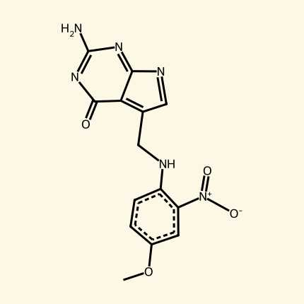 COc1ccc(NCC2=C3C(=O)N=C(N)N=C3N=C2)c([N+](=O)[O-])c1